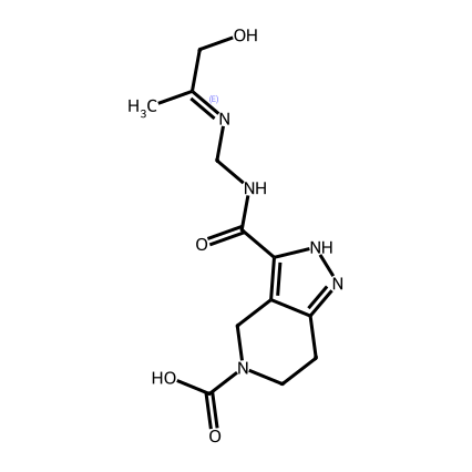 C/C(CO)=N\CNC(=O)c1[nH]nc2c1CN(C(=O)O)CC2